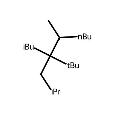 CCCC[C](C)C(CC(C)C)(C(C)CC)C(C)(C)C